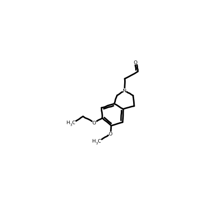 CCOc1cc2c(cc1OC)CCN(CC=O)C2